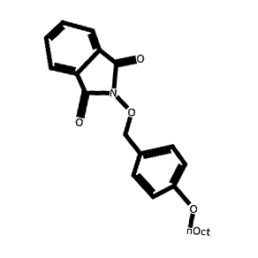 CCCCCCCCOc1ccc(CON2C(=O)c3ccccc3C2=O)cc1